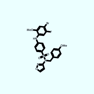 COc1ccc(CN(c2ccon2)S(=O)(=O)c2ccc(Nc3cc(F)c(Br)cc3OC)cc2)cc1